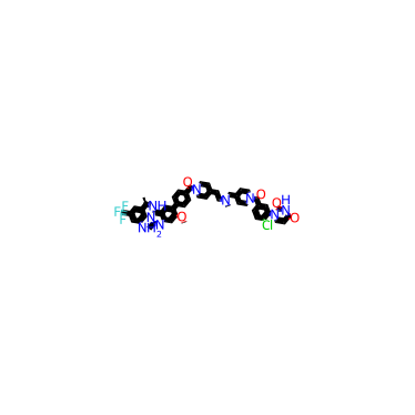 COc1cc2nc(C)nc(N[C@H](C)c3cc(N)cc(C(F)(F)F)c3)c2cc1C1CCC(C(=O)N2CCC(CCN(C)CC3CCN(C(=O)c4ccc(Cl)c(-n5ccc(=O)[nH]c5=O)c4)CC3)CC2)CC1